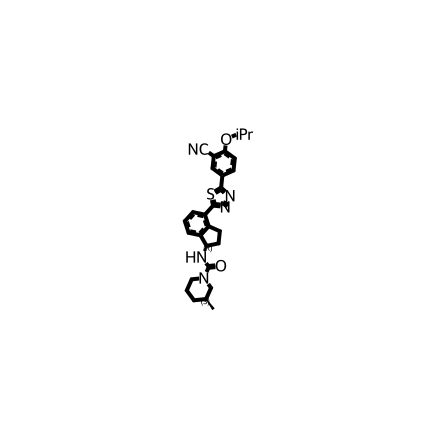 CC(C)Oc1ccc(-c2nnc(-c3cccc4c3CC[C@H]4NC(=O)N3CCC[C@H](C)C3)s2)cc1C#N